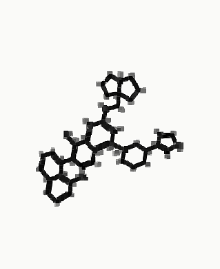 CCc1cccc2cccc(-c3ncc4c(N5CCCC(c6nc[nH]n6)C5)nc(OCC56CCCN5CCC6)nc4c3F)c12